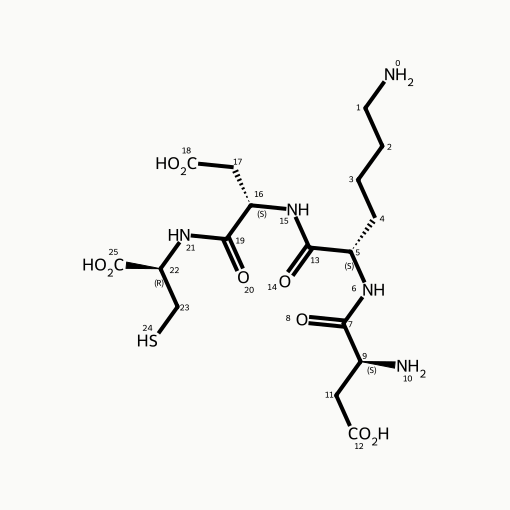 NCCCC[C@H](NC(=O)[C@@H](N)CC(=O)O)C(=O)N[C@@H](CC(=O)O)C(=O)N[C@@H](CS)C(=O)O